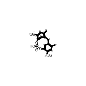 Cc1cc(C(C)(C)C)c2cc1Cc1cc(c(C(C)(C)C)cc1C)OP(=O)(O)O2